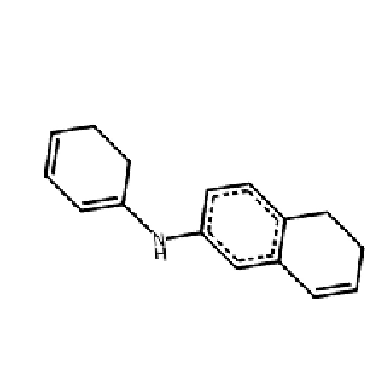 C1=CCCC(Nc2ccc3c(c2)C=CCC3)=C1